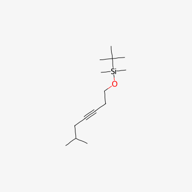 CC(C)CC#CCCO[Si](C)(C)C(C)(C)C